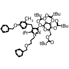 Cc1cc(OCc2ccccc2)ccc1Cc1c(O[C@@H]2O[C@H](COC(=O)C(C)(C)C)[C@@H](OC(=O)C(C)(C)C)[C@H](OC(=O)C(C)(C)C)[C@H]2OC(=O)C(C)(C)C)nn(CCCOCc2ccccc2)c1C(C)C